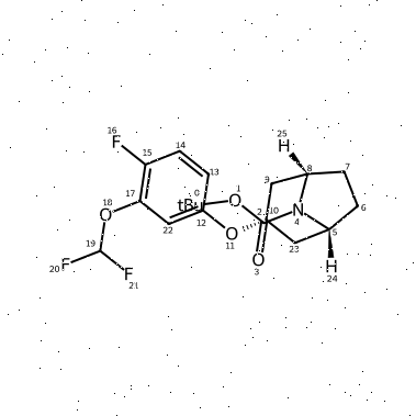 CC(C)(C)OC(=O)N1[C@@H]2CC[C@H]1C[C@@H](Oc1ccc(F)c(OC(F)F)c1)C2